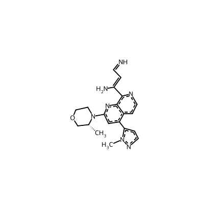 C[C@@H]1COCCN1c1cc(-c2ccnn2C)c2ccnc(/C(N)=C/C=N)c2n1